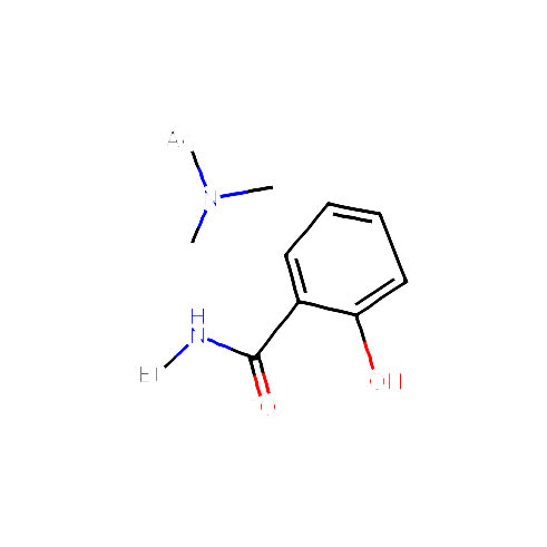 CC(=O)N(C)C.CCNC(=O)c1ccccc1O